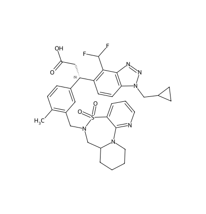 Cc1ccc([C@H](CC(=O)O)c2ccc3c(nnn3CC3CC3)c2C(F)F)cc1CN1CC2CCCCN2c2ncccc2S1(=O)=O